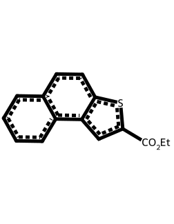 CCOC(=O)c1cc2c(ccc3ccccc32)s1